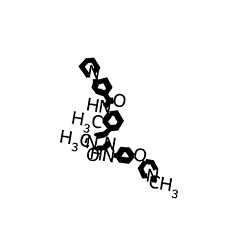 Cc1c(NC(=O)c2ccc(N3CCCCC3)cc2)cccc1-c1cn(C)c(=O)c(Nc2ccc(OC3CCN(C)CC3)cc2)n1